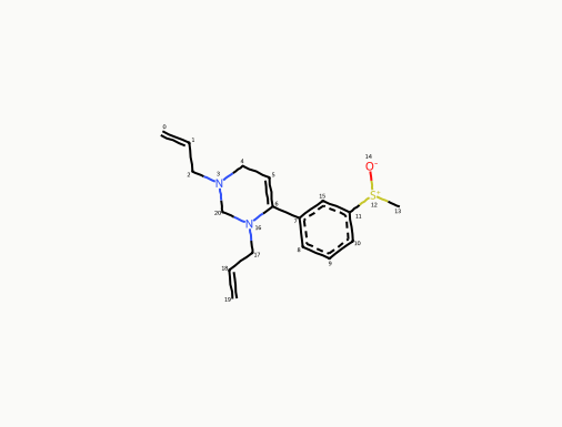 C=CCN1CC=C(c2cccc([S+](C)[O-])c2)N(CC=C)C1